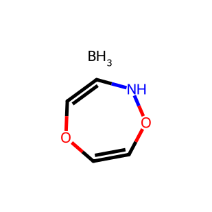 B.c1cocco[nH]1